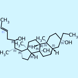 C/C=C/C[C@@H](O)[C@@H](C)[C@H]1CC[C@H]2[C@]3(C)CC[C@H]4C[C@](O)(CC)CC[C@]4(C)[C@H]3CC[C@@]21C